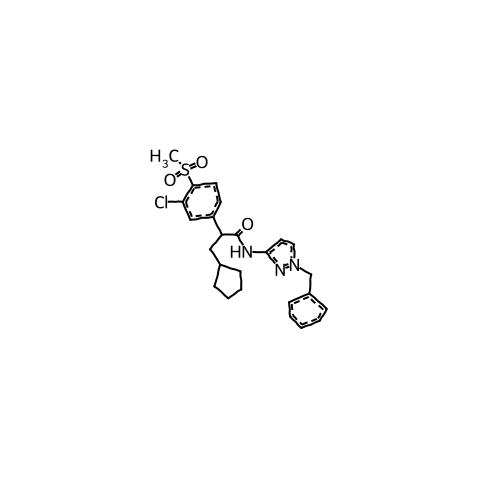 CS(=O)(=O)c1ccc(C(CC2CCCC2)C(=O)Nc2ccn(Cc3ccccc3)n2)cc1Cl